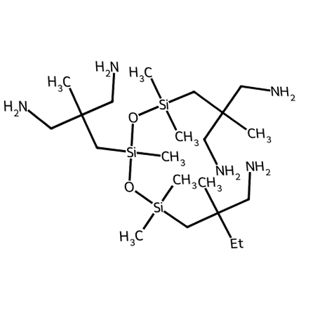 CCC(C)(CN)C[Si](C)(C)O[Si](C)(CC(C)(CN)CN)O[Si](C)(C)CC(C)(CN)CN